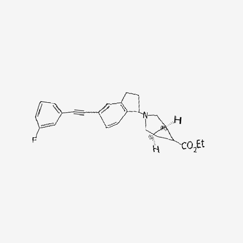 CCOC(=O)C1[C@H]2CN(C3CCc4cc(C#Cc5cccc(F)c5)ccc43)C[C@@H]12